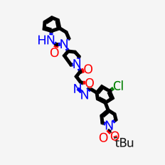 CC(C)(C)OC(=O)N1CC=C(c2cc(Cl)cc(-c3nnc(CC(=O)N4CCC(N5CCc6ccccc6NC5=O)CC4)o3)c2)CC1